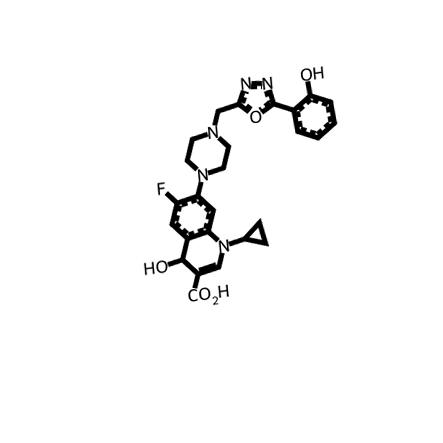 O=C(O)C1=CN(C2CC2)c2cc(N3CCN(Cc4nnc(-c5ccccc5O)o4)CC3)c(F)cc2C1O